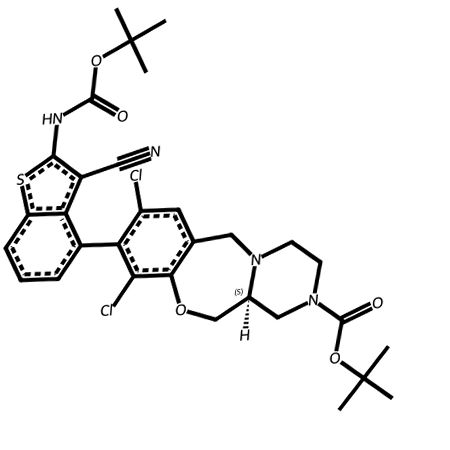 CC(C)(C)OC(=O)Nc1sc2cccc(-c3c(Cl)cc4c(c3Cl)OC[C@@H]3CN(C(=O)OC(C)(C)C)CCN3C4)c2c1C#N